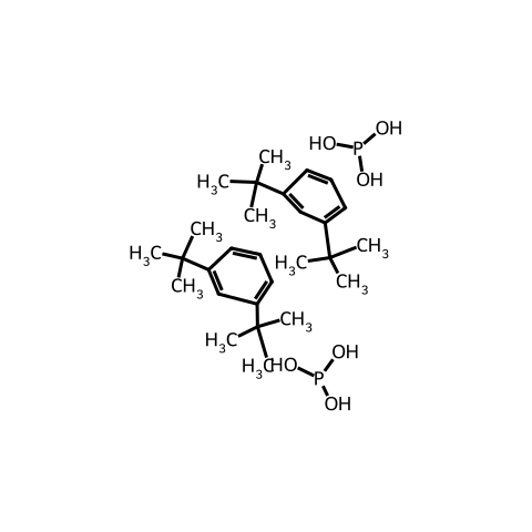 CC(C)(C)c1cccc(C(C)(C)C)c1.CC(C)(C)c1cccc(C(C)(C)C)c1.OP(O)O.OP(O)O